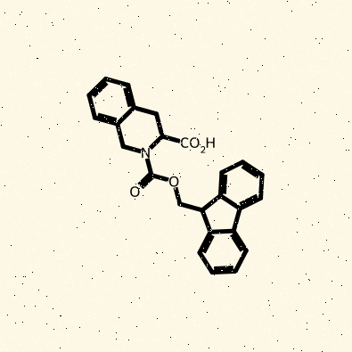 O=C(O)C1Cc2ccccc2CN1C(=O)OCC1c2ccccc2-c2ccccc21